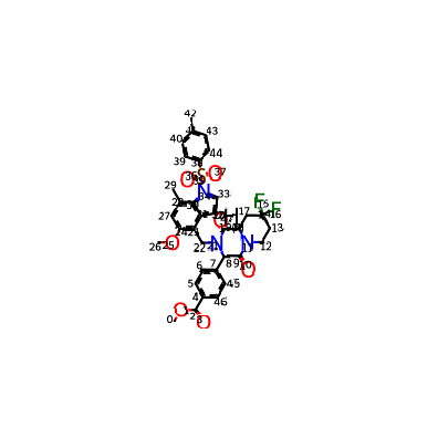 COC(=O)c1ccc(C2C(=O)N3CCC(F)(F)C[C@@H]3C(=O)N2Cc2c(OC)cc(C)c3c2ccn3S(=O)(=O)c2ccc(C)cc2)cc1